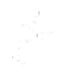 C=CCN1CCC2(c3cccc(O)c3)CC(NC(=O)/C=C/c3cccc(OC)c3)CCC2(O)C1